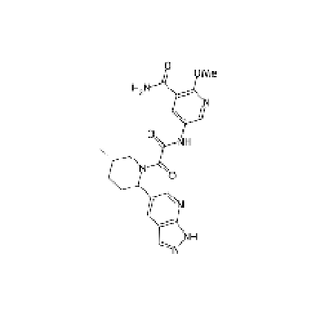 COc1ncc(NC(=O)C(=O)N2C[C@@H](C)CCC2c2cnc3[nH]ncc3c2)cc1C(N)=O